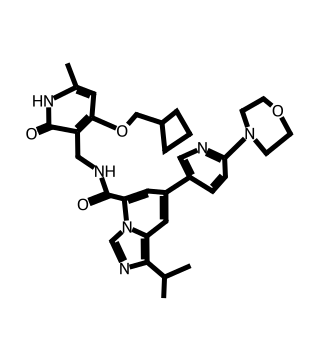 Cc1cc(OCC2CCC2)c(CNC(=O)c2cc(-c3ccc(N4CCOCC4)nc3)cc3c(C(C)C)ncn23)c(=O)[nH]1